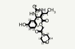 CCC1=C(C(=O)OCC(=O)N2CCOCC2)C(c2cccc(O)c2)NC(=O)N1